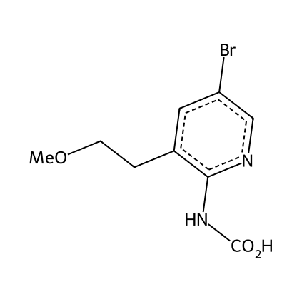 COCCc1cc(Br)cnc1NC(=O)O